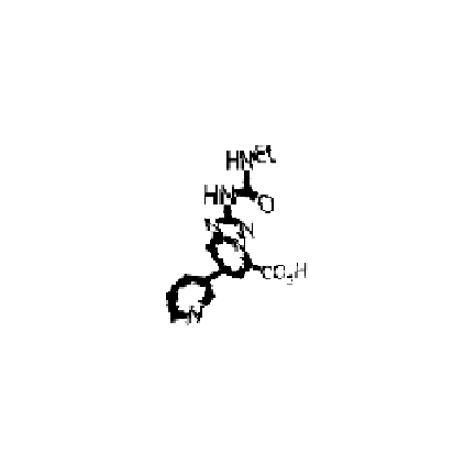 CCNC(=O)Nc1nc2cc(-c3cccnc3)cc(C(=O)O)n2n1